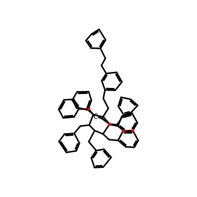 [CH](Cc1ccccc1)C(Cc1ccccc1)C(Cc1ccccc1)C(Cc1ccccc1)C(Cc1ccccc1)C(Cc1ccccc1)C(CCc1cccc(CCc2ccccc2)c1)Cc1ccccc1